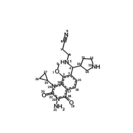 COc1c(C(NCCC#N)C2CCNC2)ccc2c(=O)n(N)c(=O)n(C3CC3)c12